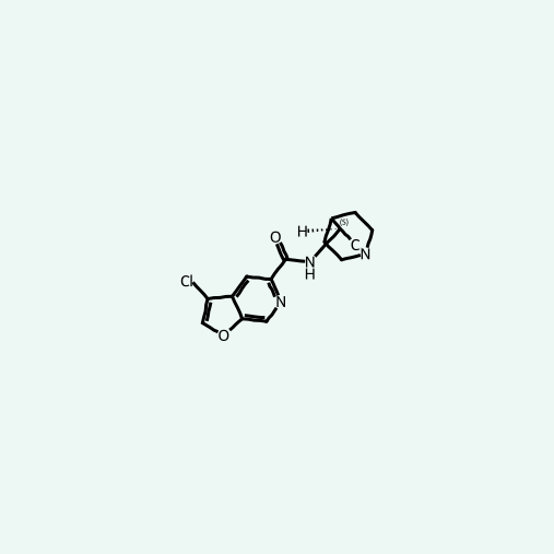 O=C(N[C@@H]1CN2CCC1CC2)c1cc2c(Cl)coc2cn1